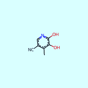 Cc1c(C#N)cnc(O)c1O